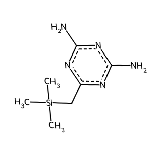 C[Si](C)(C)Cc1nc(N)nc(N)n1